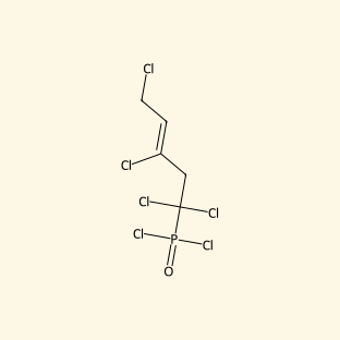 O=P(Cl)(Cl)C(Cl)(Cl)CC(Cl)=CCCl